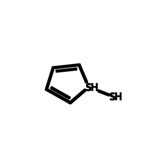 S[SH]1C=CC=C1